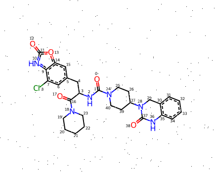 O=C(NC(Cc1cc(Cl)c2[nH]c(=O)oc2c1)C(=O)N1CCCCC1)N1CCC(N2Cc3ccccc3NC2=O)CC1